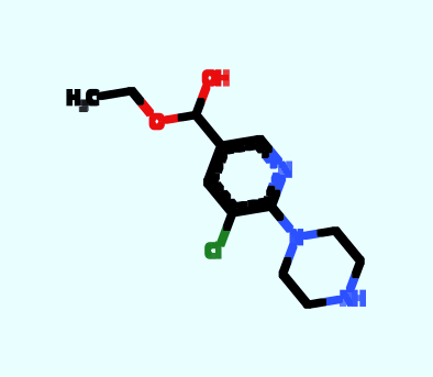 CCOC(O)c1cnc(N2CCNCC2)c(Cl)c1